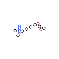 c1ccc(C2Nc3cc(-c4ccc(-c5ccc(-c6ccc7oc8cc9c(cc8c7c6)oc6ccccc69)cc5)cc4)ccc3N2c2ccccc2)cc1